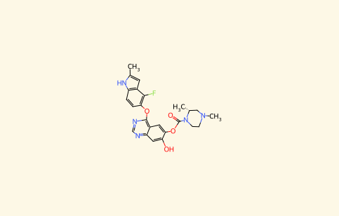 Cc1cc2c(F)c(Oc3ncnc4cc(O)c(OC(=O)N5CCN(C)C[C@H]5C)cc34)ccc2[nH]1